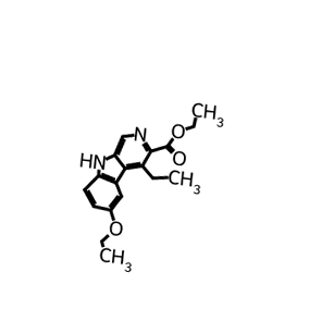 CCOC(=O)c1ncc2[nH]c3ccc(OCC)cc3c2c1CC